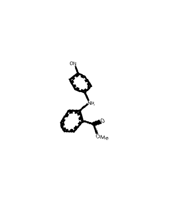 COC(=O)c1ccccc1Nc1ccc(N=O)cc1